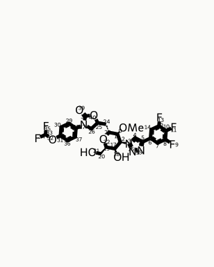 CO[C@@H]1[C@@H](n2cc(-c3cc(F)c(F)c(F)c3)nn2)[C@@H](O)[C@@H](CO)O[C@@H]1CC1CN(c2ccc(OC(F)F)cc2)C(=O)O1